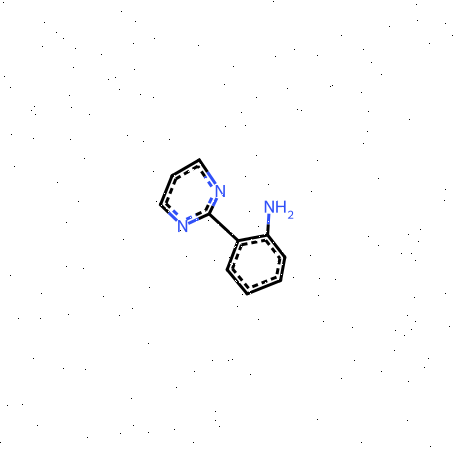 Nc1ccccc1-c1ncccn1